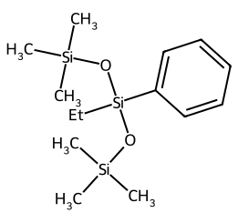 CC[Si](O[Si](C)(C)C)(O[Si](C)(C)C)c1ccccc1